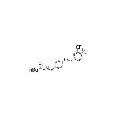 CCCCC(CC)CN=Cc1ccc(OCc2ccc(Cl)c(C(F)(F)F)c2)cc1